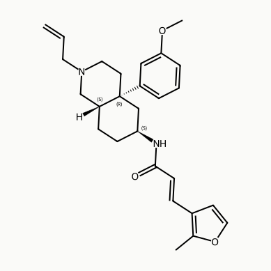 C=CCN1CC[C@@]2(c3cccc(OC)c3)C[C@@H](NC(=O)C=Cc3ccoc3C)CC[C@@H]2C1